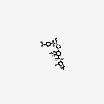 C=CCN([C@@H]1CCN(c2ccc(C(=O)Nc3cc(F)c4nc(C)cn4c3)c3nn(C)cc23)C1)S(=O)(=O)c1ccc([N+](=O)[O-])cc1